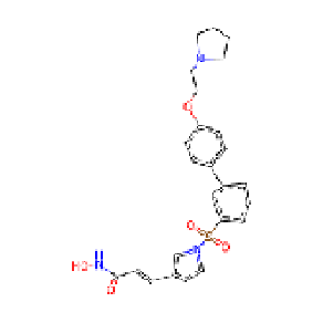 O=C(C=Cc1ccn(S(=O)(=O)c2cccc(-c3ccc(OCCN4CCCC4)cc3)c2)c1)NO